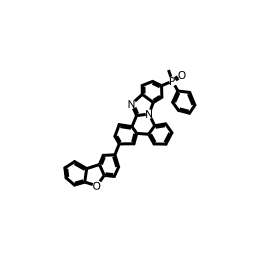 CP(=O)(c1ccccc1)c1ccc2nc3c4ccc(-c5ccc6oc7ccccc7c6c5)cc4c4ccccc4n3c2c1